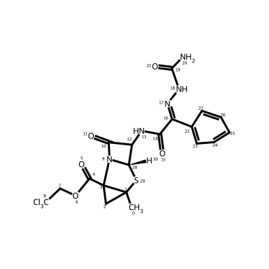 CC12CC1(C(=O)OCC(Cl)(Cl)Cl)N1C(=O)C(NC(=O)C(=NNC(N)=O)c3ccccc3)[C@@H]1S2